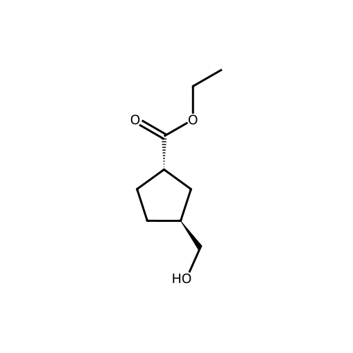 CCOC(=O)[C@H]1CC[C@H](CO)C1